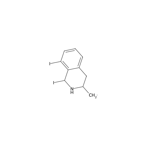 [CH2]C1Cc2cccc(I)c2C(I)N1